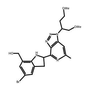 COCCC(COC)n1nnc2c(C3Cc4cc(Br)cc(CO)c4N3)nc(C)cc21